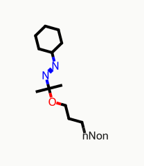 CCCCCCCCCCCCOC(C)(C)N=NC1CCCCC1